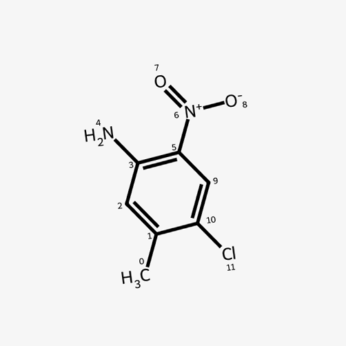 Cc1cc(N)c([N+](=O)[O-])cc1Cl